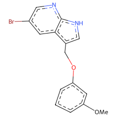 COc1cccc(OCc2c[nH]c3ncc(Br)cc23)c1